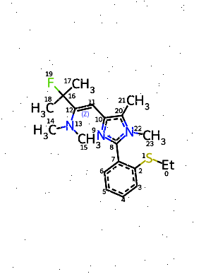 CCSc1ccccc1-c1nc(/C=C(\N(C)C)C(C)(C)F)c(C)n1C